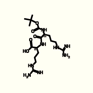 CC(C)(C)OC(=O)N[C@@H](CCCNC(=N)N)C(=O)N[C@@H](CCCNC(=N)N)C(=O)O